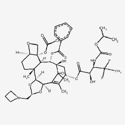 CC(=O)O[C@@]12CO[C@@H]1CC[C@@]1(C)[C@@H]3O[C@H](CN4CCC4)O[C@@H]3C3=C(C)[C@@H](OC(=O)[C@H](O)[C@@H](NC(=O)OC(C)C)C(C)(F)F)C[C@@](O)([C@@H](OC(=O)c4ccccc4)[C@@H]12)C3(C)C